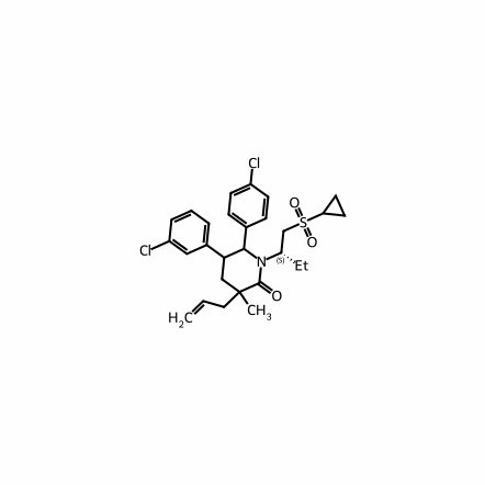 C=CCC1(C)CC(c2cccc(Cl)c2)C(c2ccc(Cl)cc2)N([C@@H](CC)CS(=O)(=O)C2CC2)C1=O